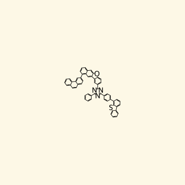 c1ccc(-c2nc(-c3ccc(-c4cccc5c4sc4ccccc45)cc3)nc(-c3ccc4oc5cc6cccc(-c7ccc8ccc9ccccc9c8c7)c6cc5c4c3)n2)cc1